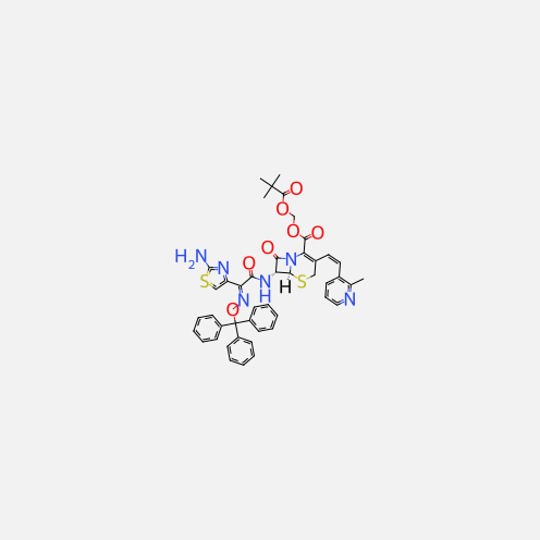 Cc1ncccc1/C=C\C1=C(C(=O)OCOC(=O)C(C)(C)C)N2C(=O)[C@@H](NC(=O)C(=NOC(c3ccccc3)(c3ccccc3)c3ccccc3)c3csc(N)n3)[C@@H]2SC1